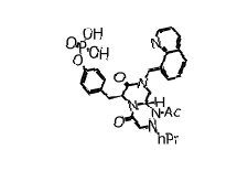 CCCN1CC(=O)N2[C@@H](Cc3ccc(OP(=O)(O)O)cc3)C(=O)N(Cc3cccc4cccnc34)C[C@@H]2N1C(C)=O